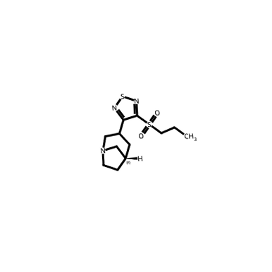 CCCS(=O)(=O)c1nsnc1C1C[C@@H]2CCN(C1)C2